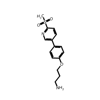 CS(=O)(=O)c1ccc(-c2ccc(OCCCN)cc2)cn1